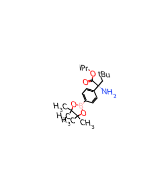 CC(C)OC(=O)[C@@](N)(CC(C)(C)C)c1ccc(B2OC(C)(C)C(C)(C)O2)cc1